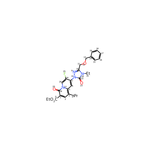 CCOC(=O)c1cc(C(C)C)c2cc(-n3nc(COCc4ccccc4)n(CC)c3=O)c(F)cn2c1=O